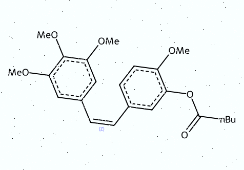 CCCCC(=O)Oc1cc(/C=C\c2cc(OC)c(OC)c(OC)c2)ccc1OC